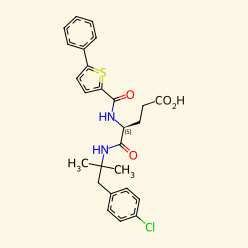 CC(C)(Cc1ccc(Cl)cc1)NC(=O)[C@H](CCC(=O)O)NC(=O)c1ccc(-c2ccccc2)s1